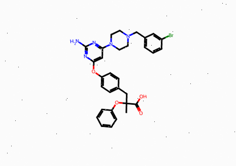 CC(Cc1ccc(Oc2cc(N3CCN(Cc4cccc(Br)c4)CC3)nc(N)n2)cc1)(Oc1ccccc1)C(=O)O